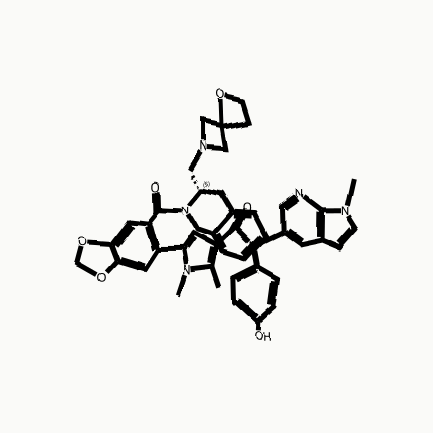 Cc1c(C(=O)N(c2ccc(O)cc2)c2cnc3c(ccn3C)c2)cc(-c2cc3c(cc2C(=O)N2Cc4ccccc4C[C@H]2CN2CC4(CCO4)C2)OCO3)n1C